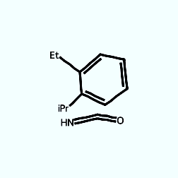 CCc1ccccc1C(C)C.N=C=O